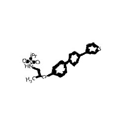 CC(CNS(=O)(=O)C(C)C)Oc1ccc(-c2ccc(-c3ccsc3)cc2)cc1